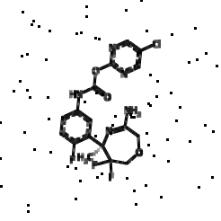 C[C@]1(c2cc(NC(=O)Oc3ncc(Cl)cn3)ccc2F)N=C(N)COCC1(F)F